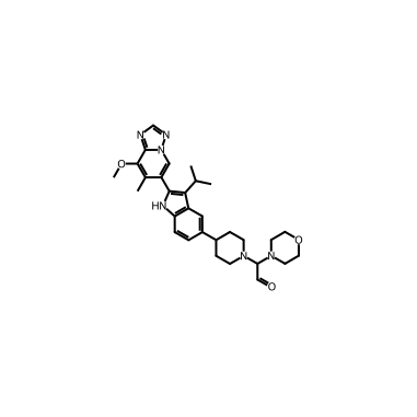 COc1c(C)c(-c2[nH]c3ccc(C4CCN(C(C=O)N5CCOCC5)CC4)cc3c2C(C)C)cn2ncnc12